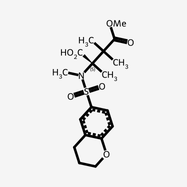 COC(=O)C(C)(C)[C@@](C)(C(=O)O)N(C)S(=O)(=O)c1ccc2c(c1)CCCO2